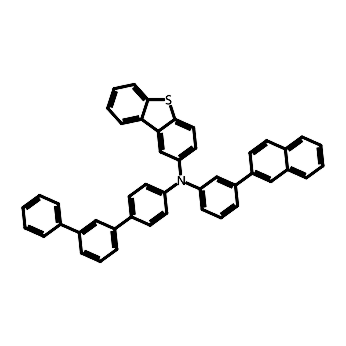 c1ccc(-c2cccc(-c3ccc(N(c4cccc(-c5ccc6ccccc6c5)c4)c4ccc5sc6ccccc6c5c4)cc3)c2)cc1